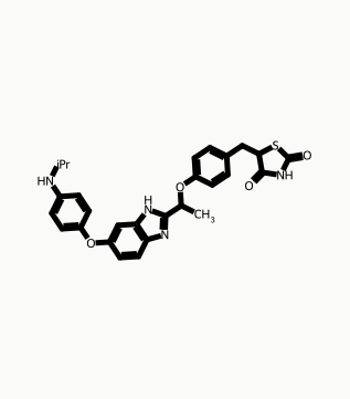 CC(C)Nc1ccc(Oc2ccc3nc(C(C)Oc4ccc(CC5SC(=O)NC5=O)cc4)[nH]c3c2)cc1